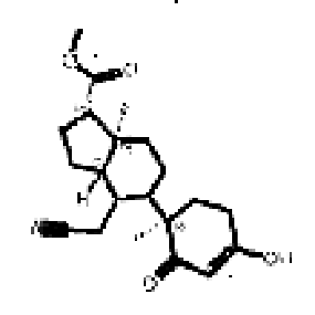 COC(=O)[C@H]1CC[C@H]2C(CC#N)C([C@@]3(C)CCC(O)=CC3=O)CC[C@]12C